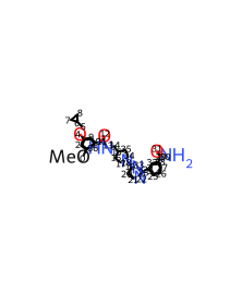 COc1cc(OCC2CC2)cc(C(=O)NCC2CCN(c3ccnc(-c4cccc(C(N)=O)c4)n3)CC2)c1